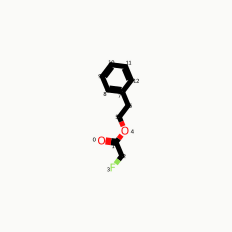 O=C(CF)OCCc1ccccc1